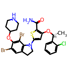 C[C@@H](Oc1cc(N2CCc3cc(Br)c(OC4CCNCC4)c(Br)c32)sc1C(N)=O)c1ccccc1Cl